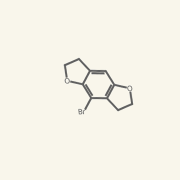 Brc1c2c(cc3c1OCC3)OCC2